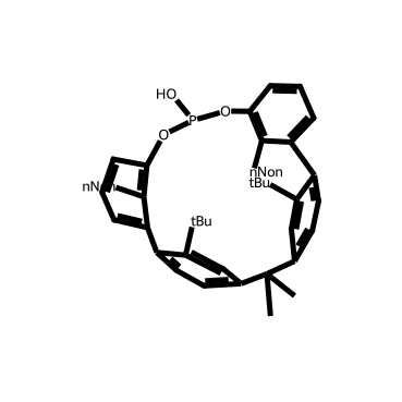 CCCCCCCCCc1c2cccc1-c1ccc(cc1C(C)(C)C)C(C)(C)c1ccc(c(C(C)(C)C)c1)-c1cccc(c1CCCCCCCCC)OP(O)O2